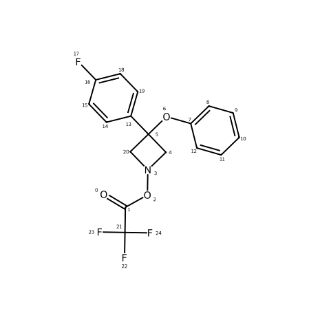 O=C(ON1CC(Oc2ccccc2)(c2ccc(F)cc2)C1)C(F)(F)F